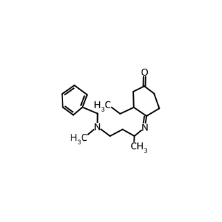 CCC1CC(=O)CC/C1=N/C(C)CCN(C)Cc1ccccc1